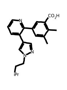 Cc1cc(-c2ncccc2-c2cnn(CCC(C)C)c2)cc(C(=O)O)c1C